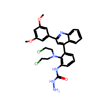 COc1cc(OC)cc(-c2cc(-c3cccc(NC(=O)NN)c3N(CCCl)CCCl)c3ccccc3n2)c1